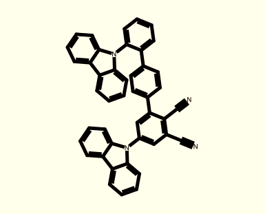 N#Cc1cc(-n2c3ccccc3c3ccccc32)cc(-c2ccc(-c3ccccc3-n3c4ccccc4c4ccccc43)cc2)c1C#N